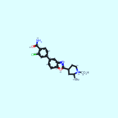 CC(C)(C)C1CC(c2nc3cc(-c4ccc(C(N)=O)c(Cl)c4)ccc3o2)CCN1C(=O)O